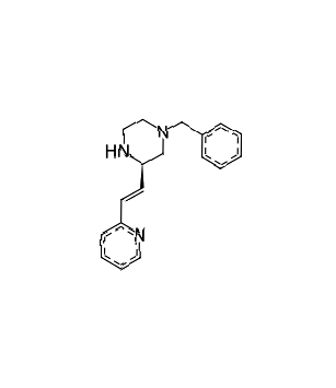 C(=C\[C@@H]1CN(Cc2ccccc2)CCN1)/c1ccccn1